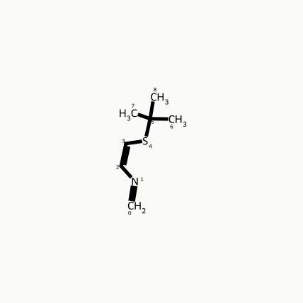 C=N/C=C\SC(C)(C)C